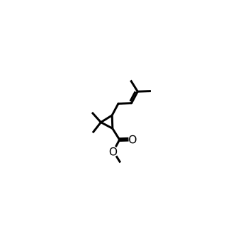 COC(=O)C1C(CC=C(C)C)C1(C)C